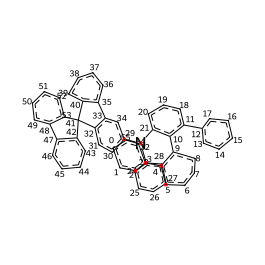 c1ccc(-c2ccccc2-c2c(-c3ccccc3)cccc2N(c2ccccc2)c2ccc3c(c2)-c2ccccc2C32c3ccccc3-c3ccccc32)cc1